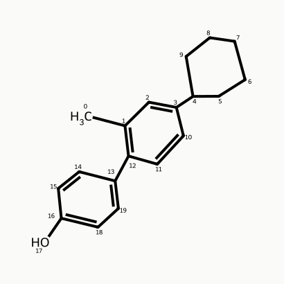 Cc1cc(C2CCCCC2)ccc1-c1ccc(O)cc1